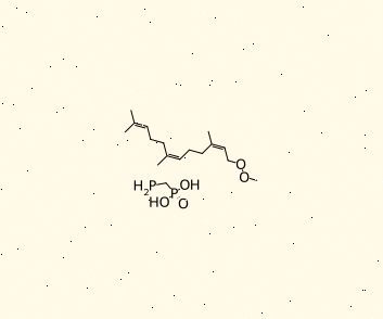 COOCC=C(C)CCC=C(C)CCC=C(C)C.O=P(O)(O)CP